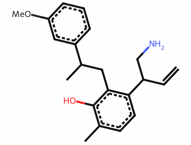 C=CC(CN)c1ccc(C)c(O)c1CC(C)c1cccc(OC)c1